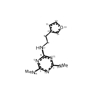 CNc1nc(NC)nc(NCCc2ccoc2)n1